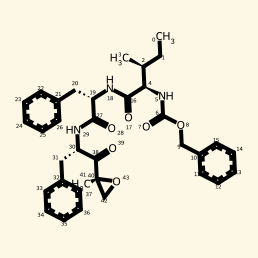 CC[C@H](C)[C@@H](NC(=O)OCc1ccccc1)C(=O)N[C@@H](Cc1ccccc1)C(=O)N[C@@H](Cc1ccccc1)C(=O)[C@@]1(C)CO1